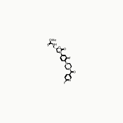 COC(=S)NC[C@H]1CN(c2ccc(N3CCN(C(=O)c4ccc(F)nc4)CC3)c(F)c2)C(=O)O1